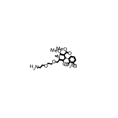 CCOC(=O)C1=C(COCCOCCN)N(C)C(OC)=C(C(=O)OC)[C@@H]1c1cccc(Cl)c1Cl